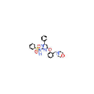 O=S(=O)(Nc1nc(Oc2ccccc2CN2CCOCC2)cc(-c2ccccc2)n1)c1ccccc1